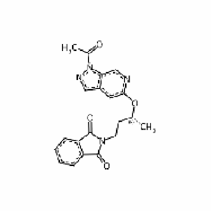 CC(=O)n1ncc2cc(O[C@H](C)CCN3C(=O)c4ccccc4C3=O)ncc21